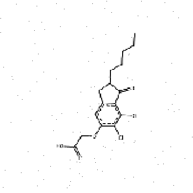 CCCCCC1Cc2cc(OCC(=O)O)c(Cl)c(Cl)c2C1=O